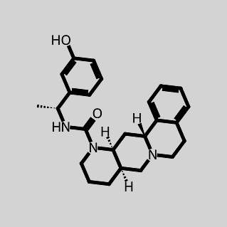 C[C@@H](NC(=O)N1CCC[C@@H]2CN3CCc4ccccc4[C@H]3C[C@@H]21)c1cccc(O)c1